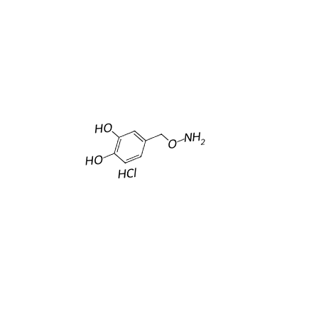 Cl.NOCc1ccc(O)c(O)c1